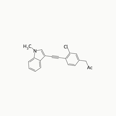 CC(=O)Cc1ccc(C#Cc2cn(C)c3ccccc23)c(Cl)c1